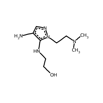 CN(C)CCn1ncc(N)c1NCCO